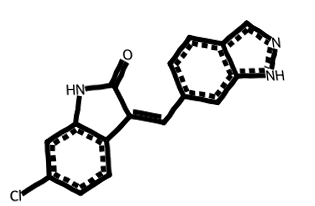 O=C1Nc2cc(Cl)ccc2C1=Cc1ccc2cn[nH]c2c1